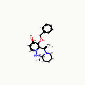 C=C1c2c(OCc3ccccc3)c(=O)ccn2N[C@@H]2CCCCN12